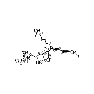 CC#CC#CC(CCCCCCC)C(=O)NC(CCCNC(=N)N)C(=O)O